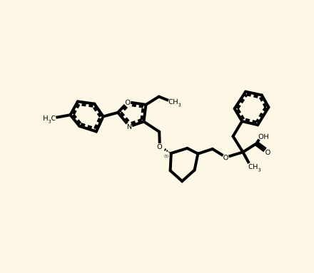 CCc1oc(-c2ccc(C)cc2)nc1CO[C@H]1CCCC(COC(C)(Cc2ccccc2)C(=O)O)C1